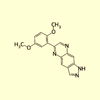 COc1ccc(OC)c(-c2cnc3cc4[nH]ncc4cc3n2)c1